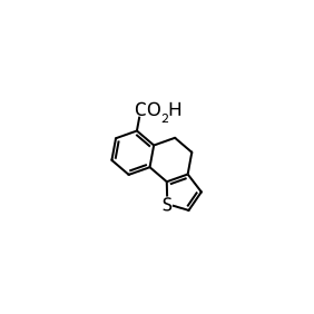 O=C(O)c1cccc2c1CCc1ccsc1-2